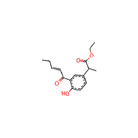 CCC=CC(=O)c1cc(C(C)C(=O)OCC)ccc1O